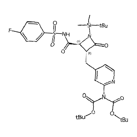 CC(C)(C)OC(=O)N(C(=O)OC(C)(C)C)c1cc(C[C@H]2C(=O)N([Si](C)(C)C(C)(C)C)[C@@H]2C(=O)NS(=O)(=O)c2ccc(F)cc2)ccn1